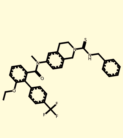 CCOc1cccc(C(=O)N(C)c2ccc3c(c2)CCN(C(=S)NCc2ccccc2)C3)c1-c1ccc(C(F)(F)F)cc1